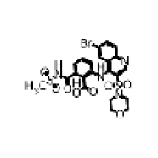 CS(=O)(=O)NC(=O)c1cccc(Nc2c(S(=O)(=O)N3CCOCC3)cnc3ccc(Br)cc23)c1C(=O)O